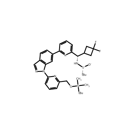 CC(C)(C)[S@@+]([O-])N[C@H](c1cccc(-c2ccc3cnn(-c4cccc(CO[Si](C)(C)C(C)(C)C)n4)c3c2)n1)C1CC(F)(F)C1